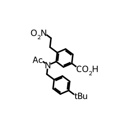 CC(=O)N(Cc1ccc(C(C)(C)C)cc1)c1cc(C(=O)O)ccc1CC[N+](=O)[O-]